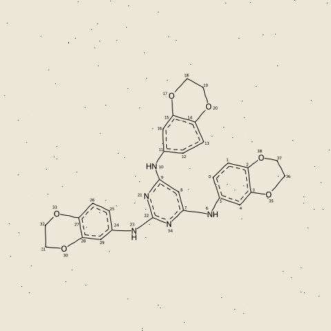 c1cc2c(cc1Nc1cc(Nc3ccc4c(c3)OCCO4)nc(Nc3ccc4c(c3)OCCO4)n1)OCCO2